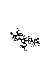 CCCC12CC13CCC1(C)C(CC(OC(C)=O)C1C1CCC(C(C)(C)OC(C)=O)O1)C3C[C@@H]1CC(F)C12